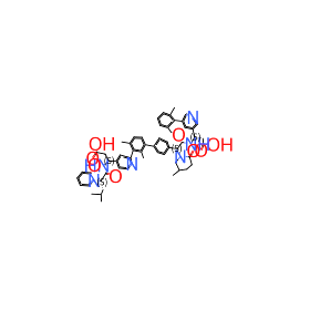 Cc1cccc(C)c1-c1cncc([C@H](CC(=O)O)NC(=O)[C@H](c2ccc(-c3ccc(C)c(-c4cc([C@H](CC(=O)O)NC(=O)[C@H](CC(C)C)n5ccccc5=O)ccn4)c3C)cc2)N2CC(C)CCC2=O)c1